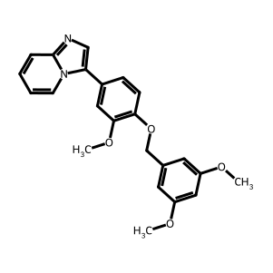 COc1cc(COc2ccc(-c3cnc4ccccn34)cc2OC)cc(OC)c1